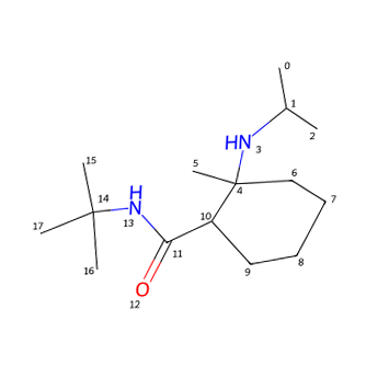 CC(C)NC1(C)CCCCC1C(=O)NC(C)(C)C